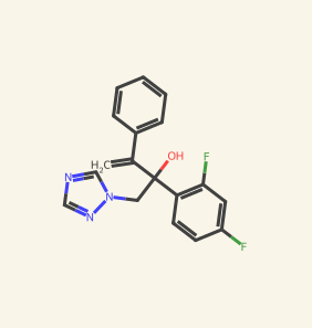 C=C(c1ccccc1)C(O)(Cn1cncn1)c1ccc(F)cc1F